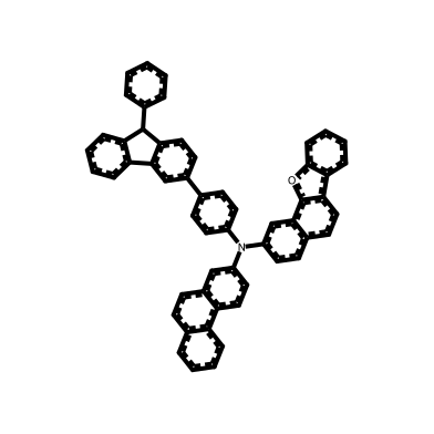 c1ccc(C2c3ccccc3-c3cc(-c4ccc(N(c5ccc6c(ccc7ccccc76)c5)c5ccc6ccc7c8ccccc8oc7c6c5)cc4)ccc32)cc1